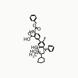 CN1C(C2CCCCC2)CN(c2ccccc2)c2cc(F)c(-c3ccc(NC(=O)OCc4ccccc4)c(C(=O)O)c3)cc2S1(O)O